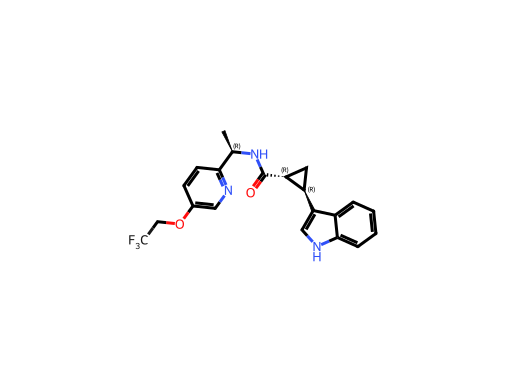 C[C@@H](NC(=O)[C@@H]1C[C@H]1c1c[nH]c2ccccc12)c1ccc(OCC(F)(F)F)cn1